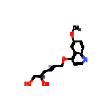 COc1ccc2nccc(OC/C=C/C[C@@H](O)CO)c2c1